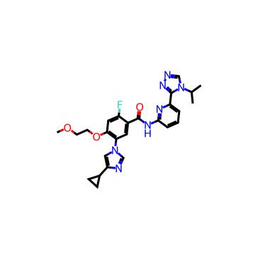 COCCOc1cc(F)c(C(=O)Nc2cccc(-c3nncn3C(C)C)n2)cc1-n1cnc(C2CC2)c1